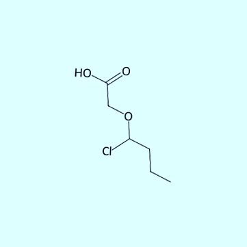 CCCC(Cl)OCC(=O)O